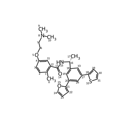 Cc1ccc(OCCN(C)C)cc1C(=O)N[C@H](C)c1cc(-c2ccco2)cc(-c2cccs2)c1